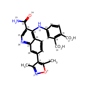 Cc1noc(C)c1-c1ccc2c(Nc3ccc(C(=O)O)c(C(=O)O)c3)c(C(N)=O)cnc2c1